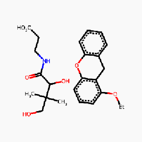 CC(C)(CO)C(O)C(=O)NCCC(=O)O.CCOc1cccc2c1Cc1ccccc1O2